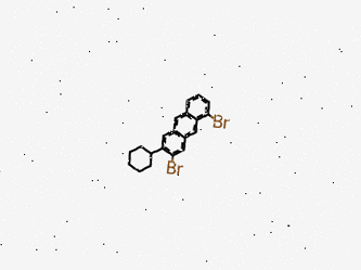 Brc1cc2cc3c(Br)cccc3cc2cc1C1CCCCC1